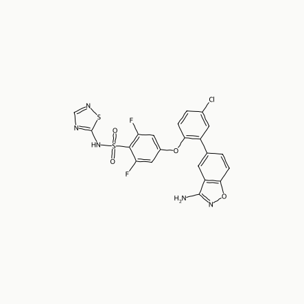 Nc1noc2ccc(-c3cc(Cl)ccc3Oc3cc(F)c(S(=O)(=O)Nc4ncns4)c(F)c3)cc12